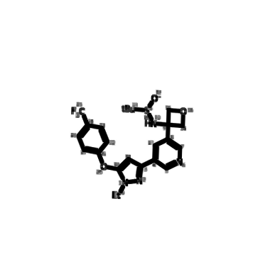 CCn1nc(-c2cncc(C3(N[S+]([O-])C(C)(C)C)COC3)c2)cc1Oc1ccc(C(F)(F)F)cc1